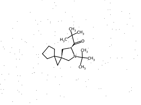 CC(C)(C)C(=O)[C@@H]1C[C@@]2(CN1C(C)(C)C)CC21CCCC1